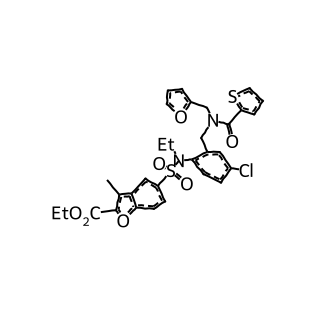 CCOC(=O)c1oc2ccc(S(=O)(=O)N(CC)c3ccc(Cl)cc3CN(Cc3ccco3)C(=O)c3cccs3)cc2c1C